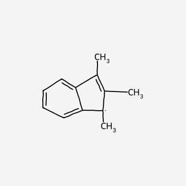 C[C]1C(C)=C(C)c2ccccc21